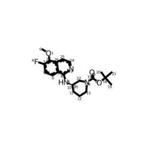 COc1c(F)ccc2c(N[C@@H]3CCCN(C(=O)OC(C)(C)C)C3)nccc12